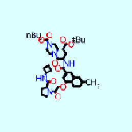 CCCCOC(=O)N1CCN(C(=O)C(CCC(=O)OC(C)(C)C)NC(=O)c2cc(OCC(=O)N3CCCC3C(=O)NC3CCC3)c3ccc(C)cc3c2)CC1